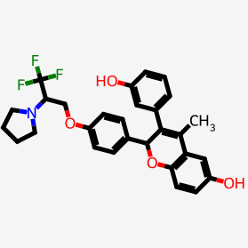 CC1=C(c2cccc(O)c2)C(c2ccc(OCC(N3CCCC3)C(F)(F)F)cc2)Oc2ccc(O)cc21